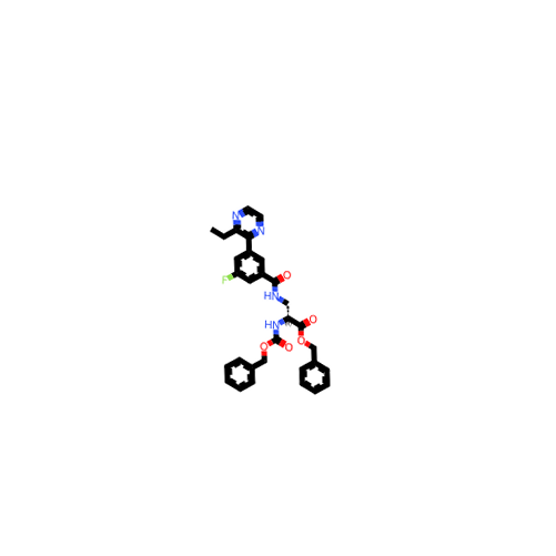 CCc1nccnc1-c1cc(F)cc(C(=O)NC[C@@H](NC(=O)OCc2ccccc2)C(=O)OCc2ccccc2)c1